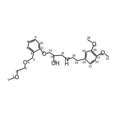 COCCOCc1ccccc1OCC(O)CNCCc1ccc(OC)c(OC)c1